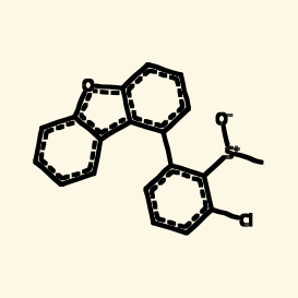 C[S+]([O-])c1c(Cl)cccc1-c1cccc2oc3ccccc3c12